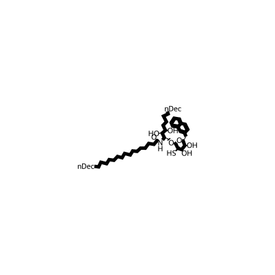 CCCCCCCCCCCCCCCCCCCCCCCCCC(=O)N[C@@H](CO[C@H]1O[C@H](Cc2ccc3ccccc3c2)[C@H](O)[C@H](O)[C@H]1S)[C@H](O)[C@H](O)CCCCCCCCCCCCCC